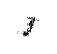 COC(=O)N[C@H](C(=O)N1CCCC1c1ncc(-c2ccc(-c3csc4c(-c5cnc(C6CCCN6C(=O)OCC(C)C)[nH]5)csc34)cc2)[nH]1)C(C)C